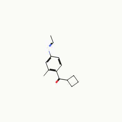 C/C=N/c1ccc(C(=O)C2CCC2)c(C)c1